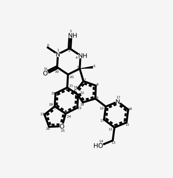 CN1C(=N)N[C@](C)(c2cc(-c3cc(CO)ccn3)cs2)C(c2ccc3occc3c2)C1=O